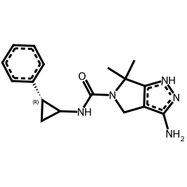 CC1(C)c2[nH]nc(N)c2CN1C(=O)NC1C[C@@H]1c1ccccc1